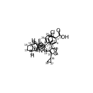 O=C(O)c1ccc(-c2nnc(N3[C@@H]4CC[C@H]3C[C@@H](OCc3c(-c5ccccc5OC(F)(F)F)noc3C3CC3)C4)o2)cc1Cl